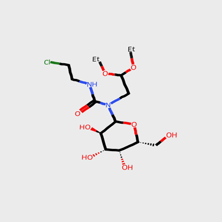 CCOC(CN(C(=O)NCCCl)C1O[C@H](CO)[C@H](O)[C@H](O)[C@H]1O)OCC